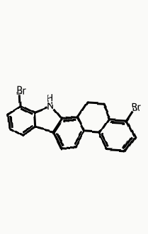 Brc1cccc2c1CCc1c-2ccc2c1[nH]c1c(Br)cccc12